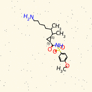 COc1ccc(S(=O)(=O)NC(=O)[C@H]2C[C@H]2C(C)C(C)CCCCCN)cc1